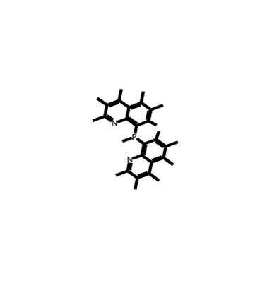 Cc1nc2c(P(C)c3c(C)c(C)c(C)c4c(C)c(C)c(C)nc34)c(C)c(C)c(C)c2c(C)c1C